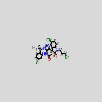 CC(c1ccc(Cl)cc1)n1nnc2c1NC(=O)C[C@]21C(=O)N(CCCBr)c2ccc(Cl)cc21